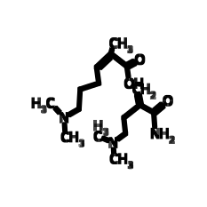 C=C(CCN(C)C)C(N)=O.CC(=CCCCN(C)C)C(=O)O